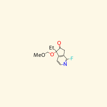 CCC1(OCOC)C(=O)Cc2c1ccnc2F